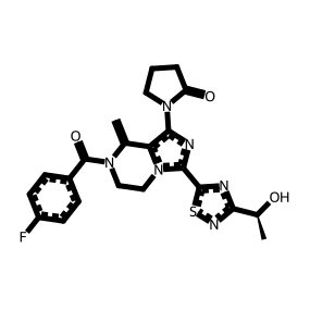 C=C1c2c(N3CCCC3=O)nc(-c3nc([C@H](C)O)ns3)n2CCN1C(=O)c1ccc(F)cc1